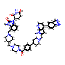 Cn1c(CN2CCC(c3ccc(C(=O)N4CCN(CC5CCN(Cc6cccc7c6n(C)c(=O)n7C6CCC(=O)NC6=O)CC5)CC4)cc3)CC2)cc2c(-c3ccc4[nH]ncc4c3)ccnc21